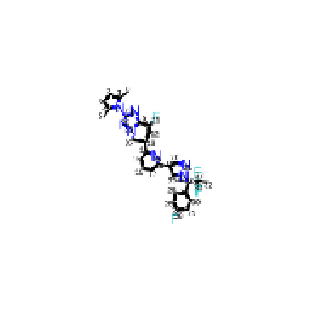 Cc1ccc(C)n1-c1nc2c(F)cc(-c3cccc(-c4cnn([C@H](c5ccc(F)cc5)C(C)(F)F)c4)n3)cn2n1